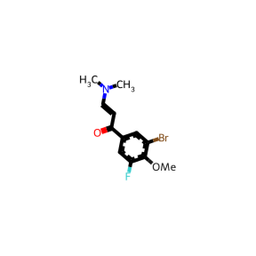 COc1c(F)cc(C(=O)C=CN(C)C)cc1Br